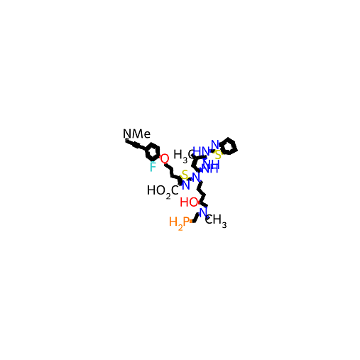 CNCC#Cc1ccc(OCCCc2sc(N(CCCC(O)CN(C)CCP)C(=N)/C=C(/C)C(=N)Nc3nc4ccccc4s3)nc2C(=O)O)c(F)c1